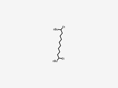 CCCCC(CC)CCCCCCCCC(CC)CCCC